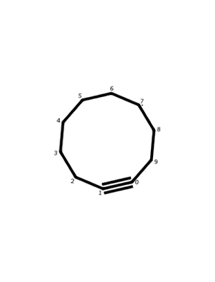 C1#CCCCCC[CH]CC1